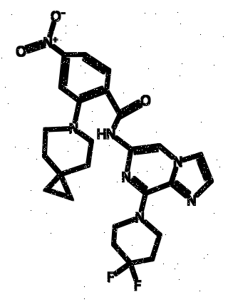 O=C(Nc1cn2ccnc2c(N2CCC(F)(F)CC2)n1)c1ccc([N+](=O)[O-])cc1N1CCC2(CC1)CC2